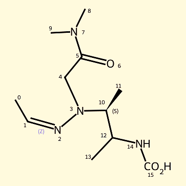 C/C=N\N(CC(=O)N(C)C)[C@@H](C)C(C)NC(=O)O